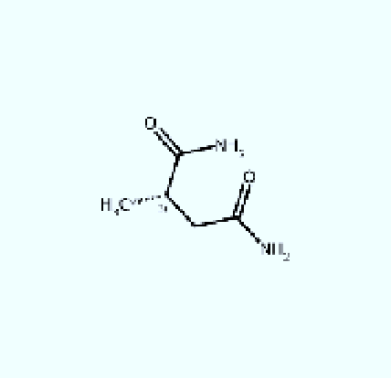 C[C@@H](CC(N)=O)C(N)=O